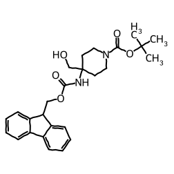 CC(C)(C)OC(=O)N1CCC(CO)(NC(=O)OCC2c3ccccc3-c3ccccc32)CC1